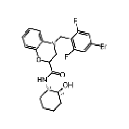 O=C(N[C@H]1CCCC[C@@H]1O)C1CN(Cc2c(F)cc(Br)cc2F)c2ccccc2O1